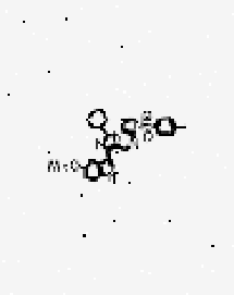 COc1ccc2c(c1)c(-c1nc(C3CCCCC3)n3c1cnc1c3ccn1S(=O)(=O)c1ccc(C)cc1)cn2C